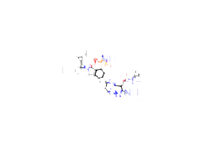 CNS(=O)(=O)c1cc(-c2ccn3nc(N)c(C(=O)NC4CC4)c3n2)cc2c1C(=O)N([C@@H](C)C1CC1)C2